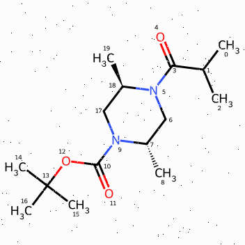 CC(C)C(=O)N1C[C@H](C)N(C(=O)OC(C)(C)C)C[C@H]1C